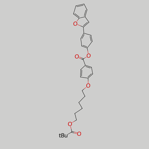 CC(C)(C)C(=O)OCCCCCCOc1ccc(C(=O)Oc2ccc(-c3cc4ccccc4o3)cc2)cc1